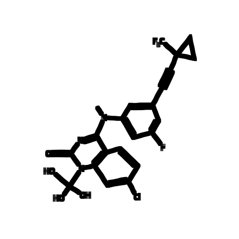 CN(c1cc(F)cc(C#CC2(C(F)(F)F)CC2)c1)c1nc(=O)n(C(O)(O)O)c2cc(Cl)ccc12